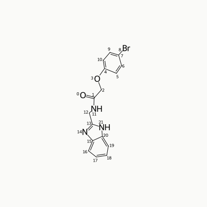 O=C(COc1ccc(Br)cc1)NCc1nc2ccccc2[nH]1